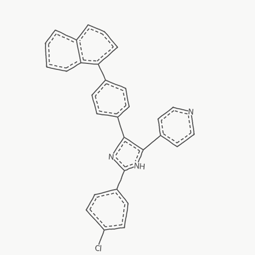 Clc1ccc(-c2nc(-c3ccc(-c4cccc5ccccc45)cc3)c(-c3ccncc3)[nH]2)cc1